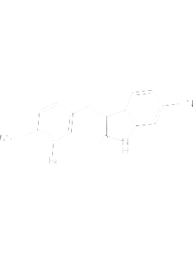 COc1ccc(C=C2C(=O)Nc3cc(C#N)ccc32)cc1Br